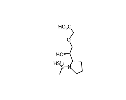 C[SH](S)N1CCC[C@H]1[C@@H](O)COCC(=O)O